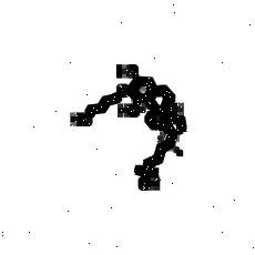 C[C@H](CCCC(C)(C)O)[C@H]1CC[C@H]2C3=CC=C4C[C@@H](O)[C@@H](OCCCCO)[C@H](O)[C@]4(C)[C@H]3CC[C@]12C